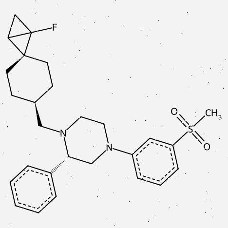 CS(=O)(=O)c1cccc(N2CCN(C[C@H]3CC[C@@]4(CC3)C3CC34F)[C@@H](c3ccccc3)C2)c1